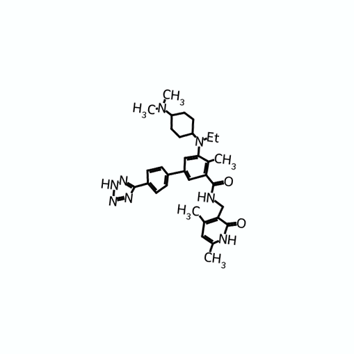 CCN(c1cc(-c2ccc(-c3nn[nH]n3)cc2)cc(C(=O)NCc2c(C)cc(C)[nH]c2=O)c1C)C1CCC(N(C)C)CC1